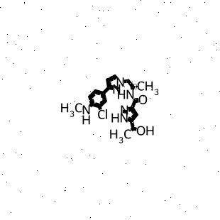 CNc1ccc(-c2ccn(C[C@H](C)NC(=O)c3cc(C(C)O)[nH]n3)n2)cc1Cl